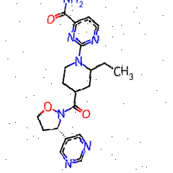 CCC1CC(C(=O)N2OCC[C@H]2c2cncnc2)CCN1c1nccc(C(N)=O)n1